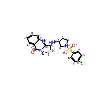 CC(NC1CCN(S(=O)(=O)c2ccc(Cl)cc2)C1)c1nc2ccccc2c(=O)n1C